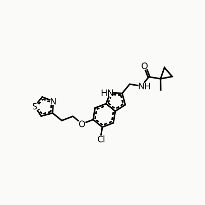 CC1(C(=O)NCc2cc3cc(Cl)c(OCCc4cscn4)cc3[nH]2)CC1